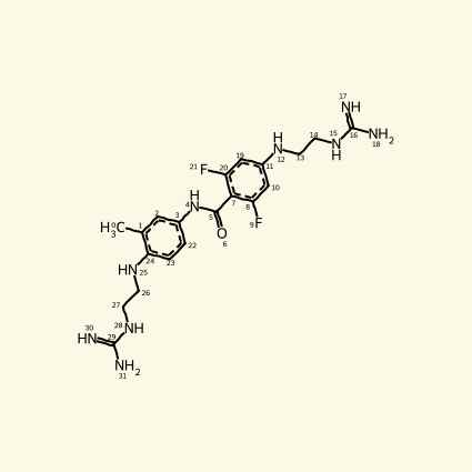 Cc1cc(NC(=O)c2c(F)cc(NCCNC(=N)N)cc2F)ccc1NCCNC(=N)N